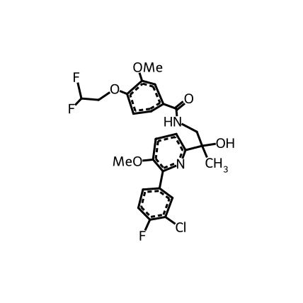 COc1cc(C(=O)NCC(C)(O)c2ccc(OC)c(-c3ccc(F)c(Cl)c3)n2)ccc1OCC(F)F